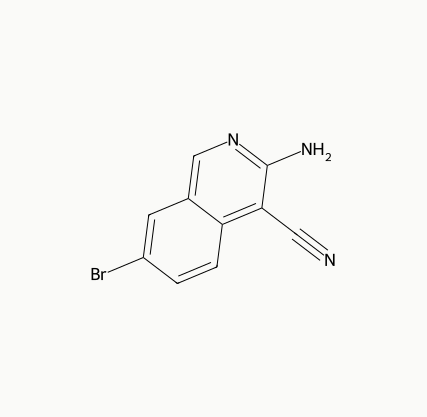 N#Cc1c(N)ncc2cc(Br)ccc12